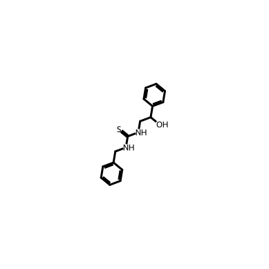 OC(CNC(=S)NCc1ccccc1)c1ccccc1